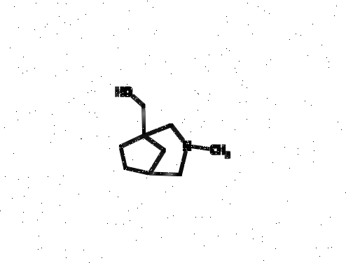 CN1CC2CCC(CO)(C2)C1